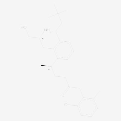 Cc1cccc(Cl)c1CC(=O)CC[C@@H](C)c1cccc(CCC(C)(C)C)c1C[C@@H](N)CO